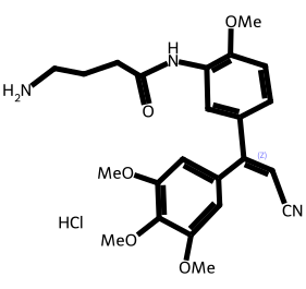 COc1ccc(/C(=C/C#N)c2cc(OC)c(OC)c(OC)c2)cc1NC(=O)CCCN.Cl